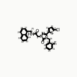 C[C@H](NC(=O)Cn1nc(-c2ccc(Cl)s2)n(Cc2ccccc2F)c1=O)c1cccc2ccccc12